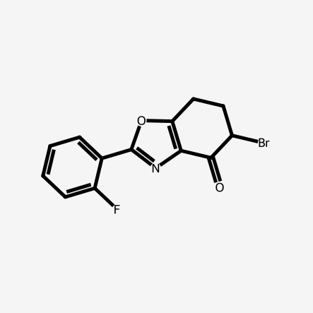 O=C1c2nc(-c3ccccc3F)oc2CCC1Br